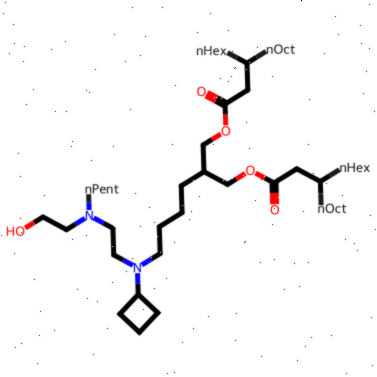 CCCCCCCCC(CCCCCC)CC(=O)OCC(CCCCN(CCN(CCO)CCCCC)C1CCC1)COC(=O)CC(CCCCCC)CCCCCCCC